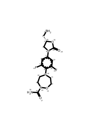 BC[C@H]1CN(c2cc(F)c(N3CCON(C(N)=O)CC3)c(F)c2)C(=O)O1